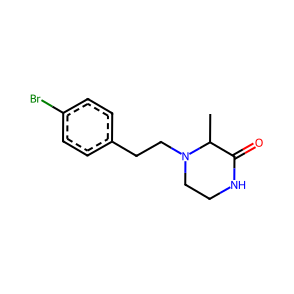 CC1C(=O)NCCN1CCc1ccc(Br)cc1